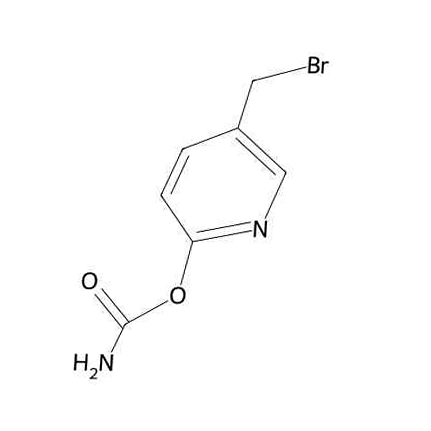 NC(=O)Oc1ccc(CBr)cn1